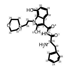 Cc1c(C(=O)NC(=O)[C@@H](N)Cc2ccccc2)c2cccc(O)c2n1CCN1CCOCC1